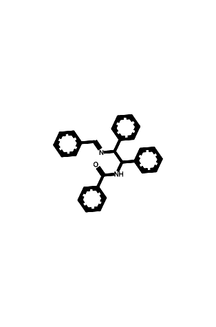 O=C(NC(c1ccccc1)C(/N=C/c1ccccc1)c1ccccc1)c1ccccc1